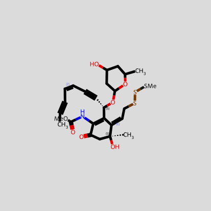 CC#C/C=C\C#C[C@H](OC1CC(O)CC(C)O1)C1=C(NC(=O)OC)C(=O)C[C@](C)(O)/C1=C/CSSSC